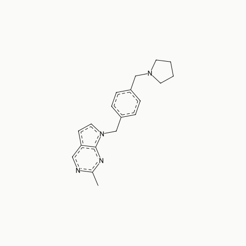 Cc1ncc2ccn(Cc3ccc(CN4CCCC4)cc3)c2n1